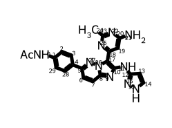 CC(=O)Nc1ccc(-c2ccc3nc(Nc4cc[nH]n4)c(-c4cc(N)nc(C)n4)n3n2)cc1